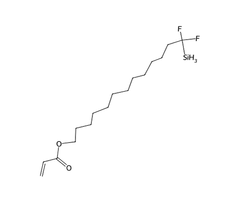 C=CC(=O)OCCCCCCCCCCCCC(F)(F)[SiH3]